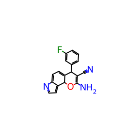 N#CC1=C(N)OC2C3=CC=NC3=CC=C2C1c1cccc(F)c1